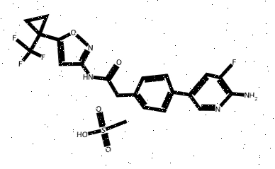 CS(=O)(=O)O.Nc1ncc(-c2ccc(CC(=O)Nc3cc(C4(C(F)(F)F)CC4)on3)cc2)cc1F